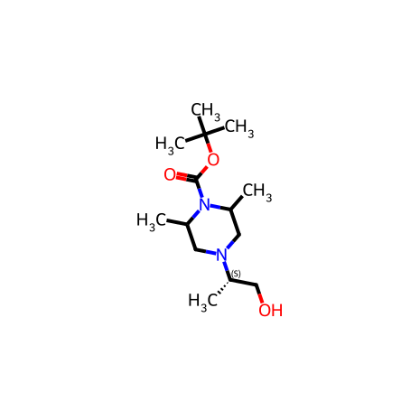 CC1CN([C@@H](C)CO)CC(C)N1C(=O)OC(C)(C)C